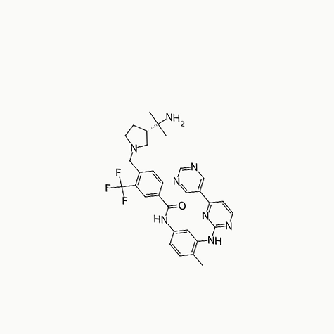 Cc1ccc(NC(=O)c2ccc(CN3CC[C@H](C(C)(C)N)C3)c(C(F)(F)F)c2)cc1Nc1nccc(-c2cncnc2)n1